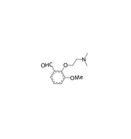 COc1cccc(C=O)c1OCCN(C)C